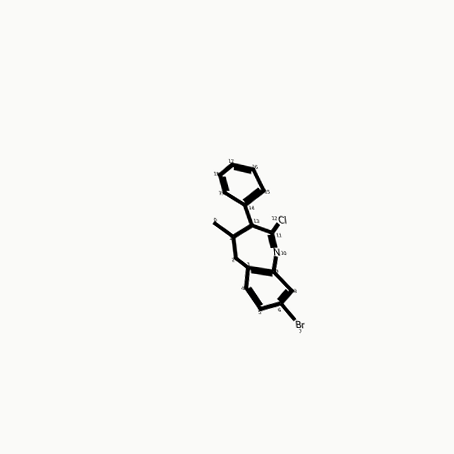 CC1Cc2ccc(Br)cc2N=C(Cl)C1c1ccccc1